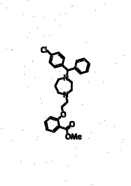 COC(=O)c1ccccc1OCCN1CCCN(C(c2ccccc2)c2ccc(Cl)cc2)CC1